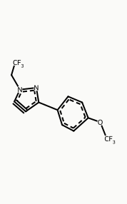 FC(F)(F)Cn1c#cc(-c2ccc(OC(F)(F)F)cc2)n1